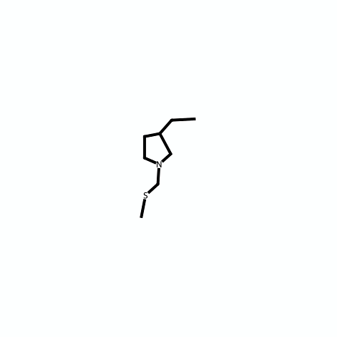 CCC1CCN(CSC)C1